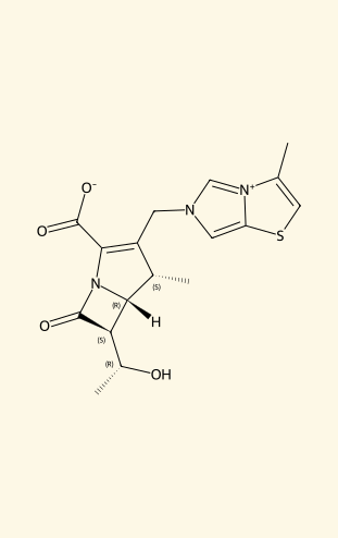 Cc1csc2cn(CC3=C(C(=O)[O-])N4C(=O)[C@H]([C@@H](C)O)[C@H]4[C@H]3C)c[n+]12